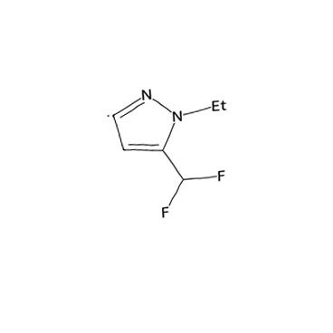 CCn1n[c]cc1C(F)F